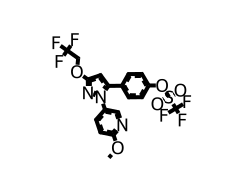 COc1ccc(-n2nc(OCC(F)(F)F)cc2-c2ccc(OS(=O)(=O)C(F)(F)F)cc2)cn1